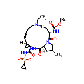 C[C@@H]1C[C@H]2C(=O)N[C@]3(C(=O)NS(=O)(=O)C4CC4)C[C@H]3/C=C\CCN(CC(F)(F)F)CC[C@H](NC(=O)OC(C)(C)C)C(=O)N2C1